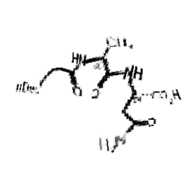 CCCCCCCCCCCC(=O)N[C@@H](C)C(=O)N[C@@H](CC(N)=O)C(=O)O